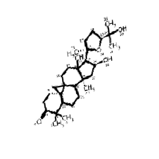 CC1(C)C(=O)CC[C@]23CC24CCC2(C)C([C@@]5(C)CC[C@@H](C(C)(C)O)O5)[C@@H](O)C[C@@]2(C)C4CCC13